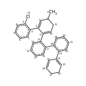 CC1C=C(c2ccccc2Cl)C(c2ccccc2-c2ccccc2C2=CCCC=C2)=CC1